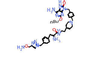 CCCCOc1nc(N)c2[nH]c(=O)n(Cc3ccc(CN4CCC(CCNC(=O)[C@@H](N)Cc5ccc(Cn6cc(CON)nn6)cc5)CC4)cc3)c2n1